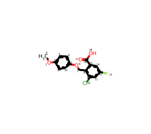 COc1ccc(OCc2c(Cl)cc(F)cc2C(=O)O)cc1